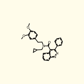 COc1ccc(CCN(CC2CC2)C(=O)c2c(-c3ccccc3)nnc3ccccc23)cc1OC